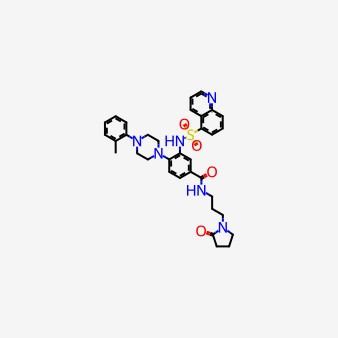 Cc1ccccc1N1CCN(c2ccc(C(=O)NCCCN3CCCC3=O)cc2NS(=O)(=O)c2cccc3ncccc23)CC1